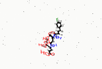 O=C(O)CCC(NC(=O)CC(NC(=O)CCCc1ccc(F)cc1)C(=O)O)C(=O)O